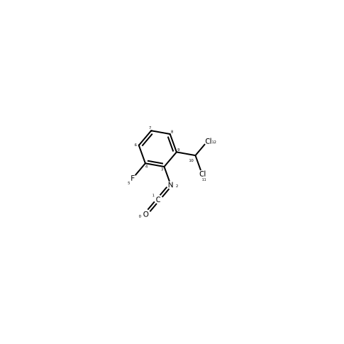 O=C=Nc1c(F)cccc1C(Cl)Cl